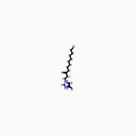 C=C(CCCCCCCCC)CCn1cnc(C)c1